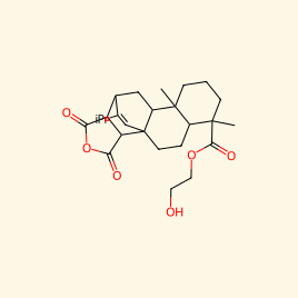 CC(C)C1=CC23CCC4C(C)(C(=O)OCCO)CCCC4(C)C2CC1C1C(=O)OC(=O)C13